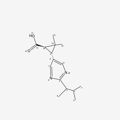 CC(C)C(C)c1ncc([C@@H]2[C@@H](C(=O)O)C2(C)C)cn1